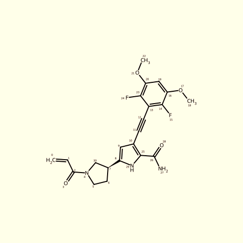 C=CC(=O)N1CC[C@H](c2cc(C#Cc3c(F)c(OC)cc(OC)c3F)c(C(N)=O)[nH]2)C1